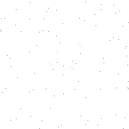 C#Cc1nc(N2CCCC2)nn1C